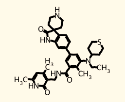 CCN(c1cc(-c2ccc3c(c2)NC(=O)C32CCNCC2)cc(C(=O)NCc2c(C)cc(C)[nH]c2=O)c1C)C1CCSCC1